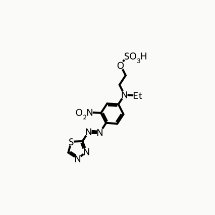 CCN(CCOS(=O)(=O)O)c1ccc(N=Nc2nncs2)c([N+](=O)[O-])c1